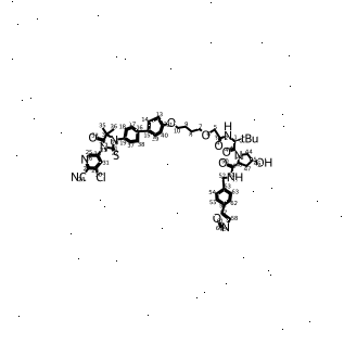 CC(C)(C)[C@H](NC(=O)COCCCCOc1ccc(-c2ccc(N3C(=S)N(c4cnc(C#N)c(Cl)c4)C(=O)C3(C)C)cc2)cc1)C(=O)N1C[C@H](O)C[C@H]1C(=O)NCc1ccc(-c2cnco2)cc1